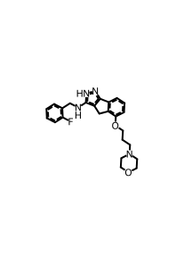 Fc1ccccc1CNc1[nH]nc2c1Cc1c(OCCCN3CCOCC3)cccc1-2